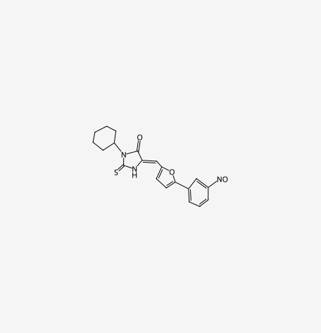 O=Nc1cccc(-c2ccc(/C=C3\NC(=S)N(C4CCCCC4)C3=O)o2)c1